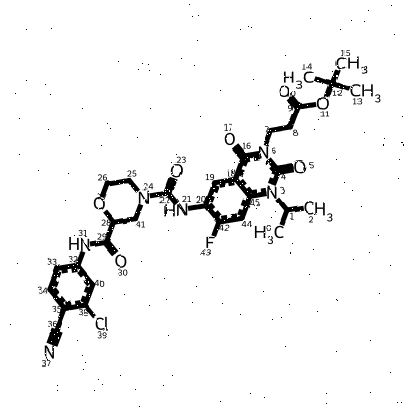 CC(C)n1c(=O)n(CCC(=O)OC(C)(C)C)c(=O)c2cc(NC(=O)N3CCOC(C(=O)Nc4ccc(C#N)c(Cl)c4)C3)c(F)cc21